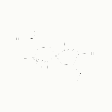 O=C(O)C(CC(CC(C(=O)O)C(=O)O)(C(=O)O)C(=O)O)C(=O)O